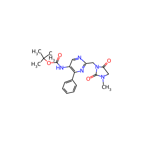 CN1CC(=O)N(Cc2ncc(NC(=O)OC(C)(C)C)c(-c3ccccc3)n2)C1=O